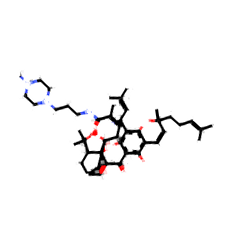 CC(C)=CCCC1(C)C=Cc2c(O)c3c(c(CC=C(C)C)c2O1)OC12C(=CC4CC1C(C)(C)OC2(C/C=C(/C)C(=O)NCCCN1CCN(C)CC1)C4=O)C3=O